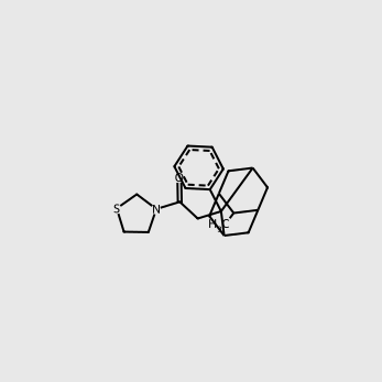 CC1C2CC3CC1CC(C2)C3(CC(=O)N1CCSC1)c1ccccc1